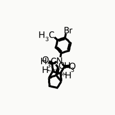 CC(C)=C1C2CCC1[C@@H]1C(=O)N(c3ccc(Br)c(C)c3)C(=O)[C@H]21